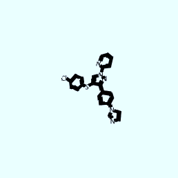 Clc1ccc(Sc2cn(-c3ccccn3)nc2-c2ccc(-n3ccnc3)cc2)cc1